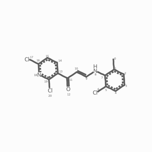 Cc1cccc(Cl)c1N/C=C/C(=O)c1ccc(Cl)nc1Cl